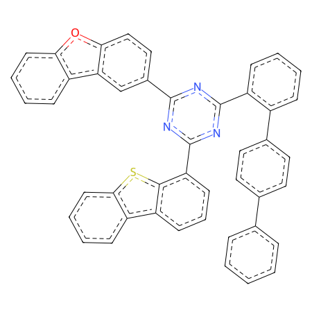 c1ccc(-c2ccc(-c3ccccc3-c3nc(-c4ccc5oc6ccccc6c5c4)nc(-c4cccc5c4sc4ccccc45)n3)cc2)cc1